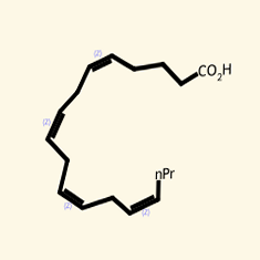 CCC/C=C\C/C=C\C/C=C\C/C=C\CCCC(=O)O